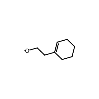 [O]CCC1=CCCCC1